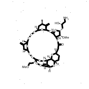 C=C1C[C@@H]2CC[C@@]3(CCOC)CO[C@@H]4[C@H](C)[C@H](CO3)O[C@H]3CC[C@H](CC(=O)C[C@@H]5[C@@H](OC)[C@@H](C[C@H](O)CN)O[C@H]5C[C@H]5O[C@@H](CCC[C@@H]1O2)C[C@@H](C)C5=C)O[C@H]43